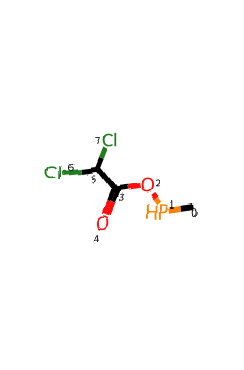 CPOC(=O)C(Cl)Cl